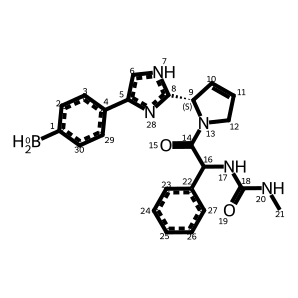 Bc1ccc(-c2c[nH]c([C@@H]3C=CCN3C(=O)C(NC(=O)NC)c3ccccc3)n2)cc1